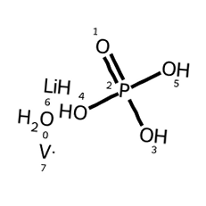 O.O=P(O)(O)O.[LiH].[V]